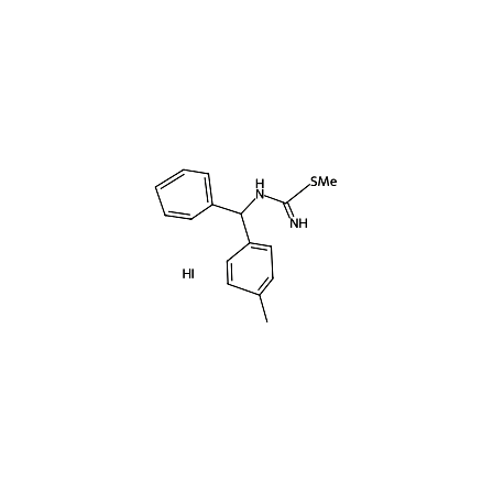 CSC(=N)NC(c1ccccc1)c1ccc(C)cc1.I